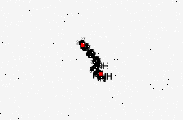 CCc1c(-c2cnc3cn[nH]c3c2)[nH]c2ccc(C3CCN(C4CCN(C(C)C)CC4)CC3)cc12